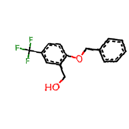 OCc1cc(C(F)(F)F)ccc1OCc1ccccc1